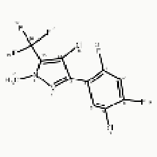 Cn1nc(-c2cc(Cl)c(F)cc2F)c(Cl)c1C(F)(F)F